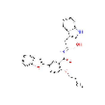 CCCOc1ccc(-c2cc3ccccc3o2)cc1C(=O)N[C@@H](CO)Cc1c[nH]c2ccccc12